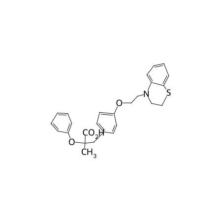 CC(Cc1ccc(OCCN2CCSc3ccccc32)cc1)(Oc1ccccc1)C(=O)O